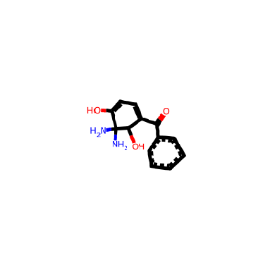 NC1(N)C(O)=CC=C(C(=O)c2ccccc2)C1O